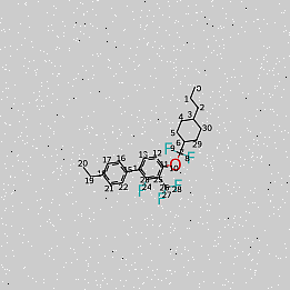 CCCC1CCC(C(F)(F)Oc2ccc(-c3ccc(CC)cc3)c(F)c2C(F)F)CC1